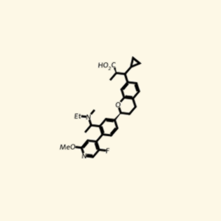 CCN(C)C(C)c1cc([C@@H]2CCc3ccc(C(C4CC4)[C@@H](C)C(=O)O)cc3O2)ccc1-c1cc(OC)ncc1F